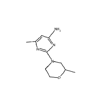 Cc1cc(N)nc(N2CCOC(C)C2)n1